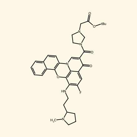 CN1CCCC1CCNc1c(F)cc2c(=O)c(C(=O)N3CCN(CC(=O)OC(C)(C)C)C3)cn3c2c1Oc1c-3ccc2ccccc12